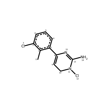 Cc1c(Cl)cccc1C1=CCN(Cl)C(N)=N1